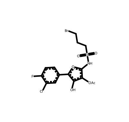 CC(=O)Oc1c(NS(=O)(=O)CCCBr)oc(-c2ccc(F)c(Cl)c2)c1O